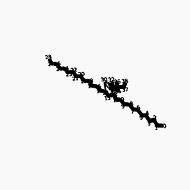 CCCCCCCCCCCCCCC(CCCCCCCCCCCCCC)N(C)C(C)(C)C(C)(C)CC